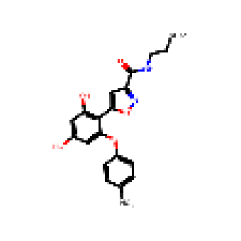 CC(=O)NCCNC(=O)c1cc(-c2c(O)cc(O)cc2Oc2ccc([N+](=O)[O-])cc2)on1